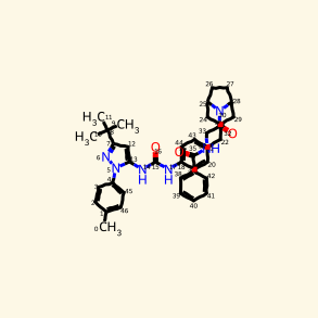 Cc1ccc(-n2nc(C(C)(C)C)cc2NC(=O)Nc2ccc(CC3CC4CCC(C3)N4C(=O)CNC(=O)c3ccccc3)cc2)cc1